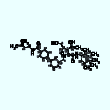 C[C@H](O)[C@@H]1[C@H](CO)ON(Cc2cccc(-c3ccc(C(=O)NCCN(C)C)cc3)c2)[C@@H]1C(=O)NC1C[C@@H](C)C(C)(C)[C@@H](C)[C@@H]1C